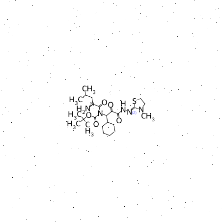 CC(C)C[C@H](N)C(=O)N(C(=O)OC(C)(C)C)C(C(=O)C(=O)N/N=C1\SCCN1C)C1CCCCC1